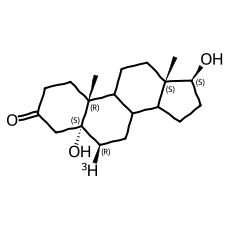 [3H][C@@H]1CC2C3CC[C@H](O)[C@@]3(C)CCC2[C@@]2(C)CCC(=O)C[C@]12O